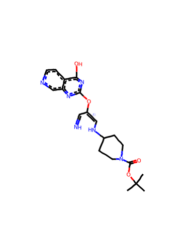 CC(C)(C)OC(=O)N1CCC(N/C=C(\C=N)Oc2nc(O)c3ccncc3n2)CC1